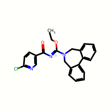 CCO/C(=N\C(=O)c1ccc(Cl)nc1)N1Cc2ccccc2-c2ccccc2C1